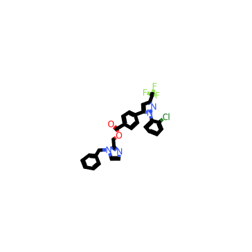 O=C(OCc1nccn1Cc1ccccc1)c1ccc(-c2cc(C(F)(F)F)nn2-c2ccccc2Cl)cc1